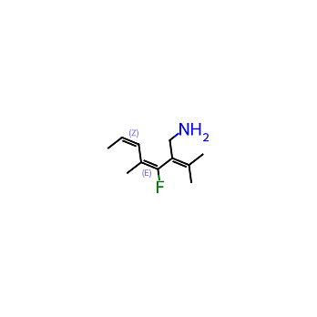 C/C=C\C(C)=C(\F)C(CN)=C(C)C